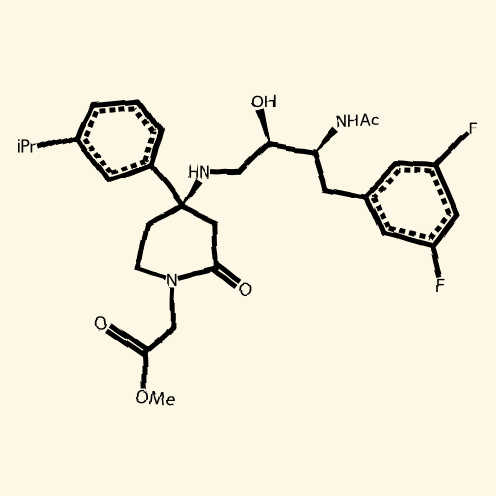 COC(=O)CN1CC[C@](NC[C@@H](O)[C@H](Cc2cc(F)cc(F)c2)NC(C)=O)(c2cccc(C(C)C)c2)CC1=O